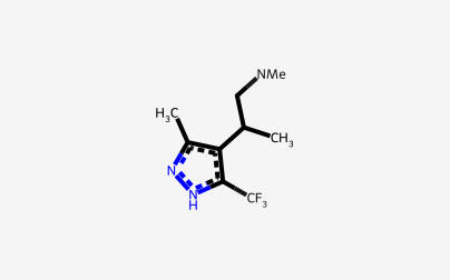 CNCC(C)c1c(C)n[nH]c1C(F)(F)F